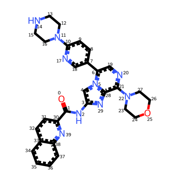 O=C(Nc1cn2c(-c3ccc(N4CCNCC4)nc3)cnc(N3CCOCC3)c2n1)c1ccc2ccccc2n1